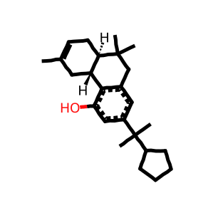 CC1=CC[C@@H]2[C@@H](C1)c1c(O)cc(C(C)(C)C3CCCC3)cc1CC2(C)C